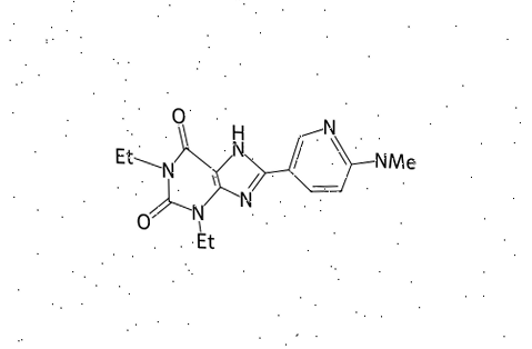 CCn1c(=O)c2[nH]c(-c3ccc(NC)nc3)nc2n(CC)c1=O